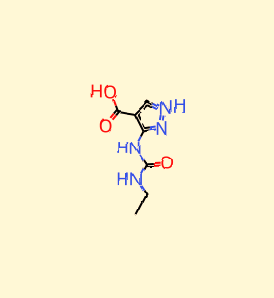 CCNC(=O)Nc1n[nH]cc1C(=O)O